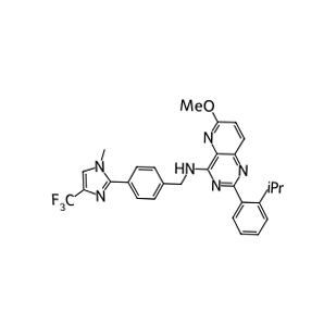 COc1ccc2nc(-c3ccccc3C(C)C)nc(NCc3ccc(-c4nc(C(F)(F)F)cn4C)cc3)c2n1